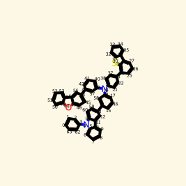 c1ccc(-n2c3ccccc3c3cc(-c4cccc(N(c5ccc(-c6cccc7c6sc6ccccc67)cc5)c5cccc(-c6ccc7oc8ccccc8c7c6)c5)c4)ccc32)cc1